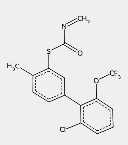 C=NC(=O)Sc1cc(-c2c(Cl)cccc2OC(F)(F)F)ccc1C